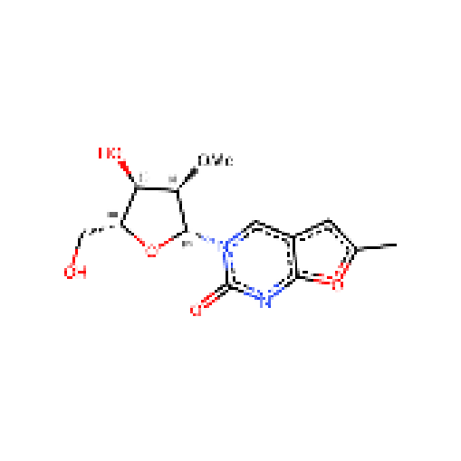 CO[C@@H]1[C@H](O)[C@@H](CO)O[C@H]1n1cc2cc(C)oc2nc1=O